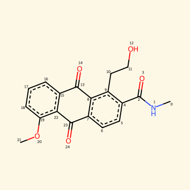 CNC(=O)c1ccc2c(c1CCO)C(=O)c1cccc(OC)c1C2=O